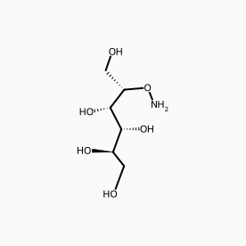 NO[C@@H](CO)[C@@H](O)[C@H](O)[C@H](O)CO